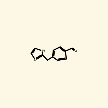 O=Cc1ccc(Cc2ncc[nH]2)cc1